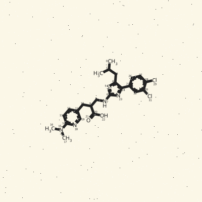 CC(C)Cc1sc(NCC(Cc2ccc(N(C)C)nc2)C(=O)O)nc1-c1ccc(Cl)c(Cl)c1